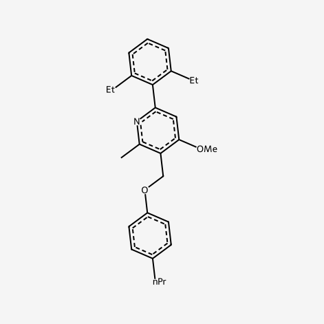 CCCc1ccc(OCc2c(OC)cc(-c3c(CC)cccc3CC)nc2C)cc1